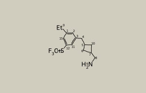 CCc1cc(CC2CC(CN)C2)cc(SC(F)(F)F)c1